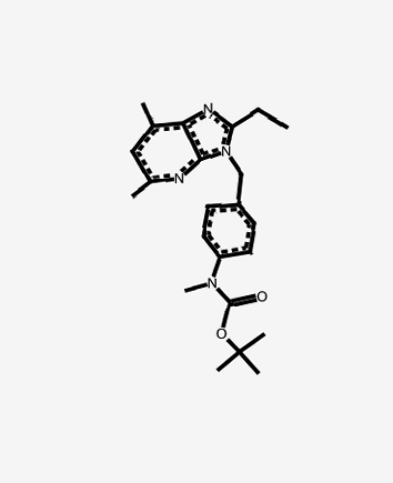 CCc1nc2c(C)cc(C)nc2n1Cc1ccc(N(C)C(=O)OC(C)(C)C)cc1